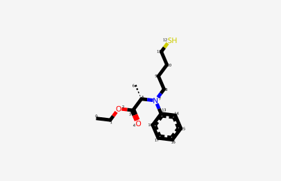 CCOC(=O)[C@H](C)N(CCCCS)c1ccccc1